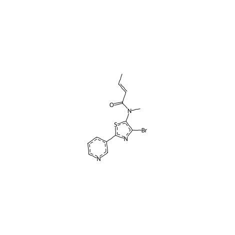 C/C=C/C(=O)N(C)c1sc(-c2cccnc2)nc1Br